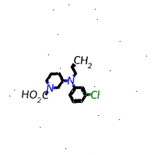 C=CCN(c1cccc(Cl)c1)C1CCCN(C(=O)O)C1